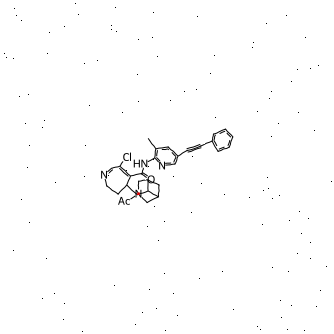 CC(=O)N1CC2CC(C1)C2CC1CCN=CC(Cl)=C1C(=O)Nc1ncc(C#Cc2ccccc2)cc1C